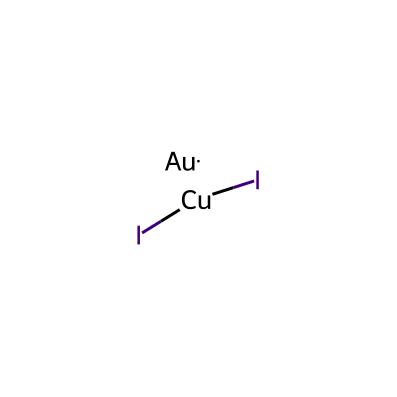 [Au].[I][Cu][I]